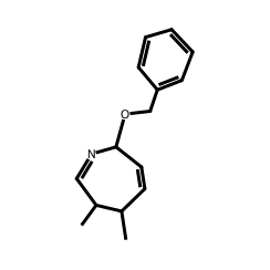 CC1C=CC(OCc2ccccc2)N=CC1C